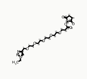 CCn1cc(COCCOCCOCCOCCOCCC(=O)ON2C(=O)CCC2=O)nn1